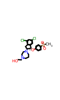 CS(=O)(=O)c1ccc(O[C@H]2c3cc(Cl)cc(Cl)c3C[C@@H]2N2CCCN(CCO)CC2)cc1